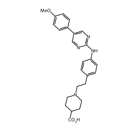 COc1ccc(-c2cnc(Nc3ccc(CCN4CCC(C(=O)O)CC4)cc3)nc2)cc1